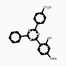 CCOC(=O)c1ccc(-c2nc(-c3ccccc3)nc(-c3ccc(OC)cc3O)n2)cc1